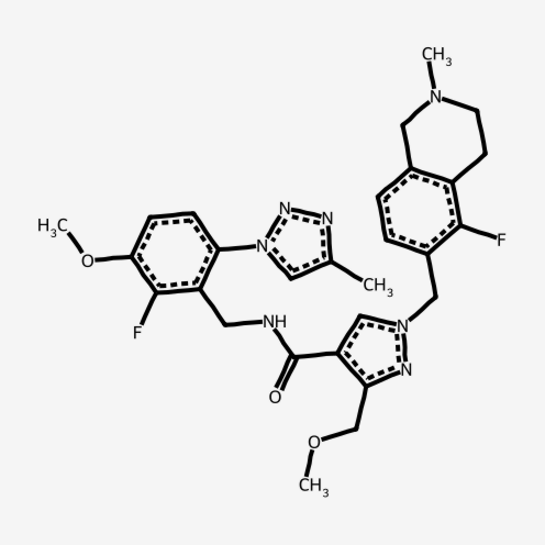 COCc1nn(Cc2ccc3c(c2F)CCN(C)C3)cc1C(=O)NCc1c(-n2cc(C)nn2)ccc(OC)c1F